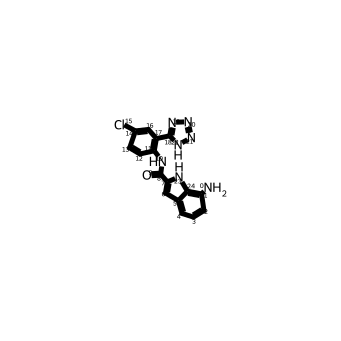 Nc1cccc2cc(C(=O)Nc3ccc(Cl)cc3-c3nnn[nH]3)[nH]c12